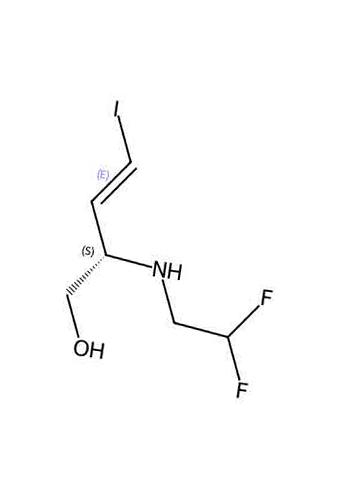 OC[C@H](/C=C/I)NCC(F)F